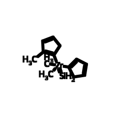 CC1=[C]([Zr]([CH3])([CH3])(=[SiH2])[C]2=CC=CC2)CC=C1